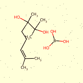 CC(C)=CCCC(C)(O)C(C)(C)O.OB(O)O